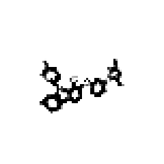 Cc1ccc(-n2c3ccccc3c3ccc(Oc4cccc(-n5nc(C)cc5C)c4)[c]([Pt])c32)nc1